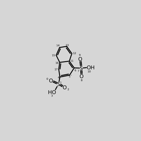 O=S(=O)(O)c1[c]c(S(=O)(=O)O)c2ccccc2c1